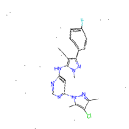 Cc1nn(-c2cc(Nc3c(C)c(-c4ccc(F)cc4)nn3C)ncn2)c(C)c1Cl